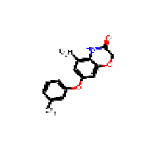 O=C1COc2cc(Oc3cccc(C(F)(F)F)c3)cc([N+](=O)[O-])c2N1